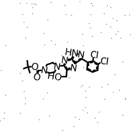 CC(C)(C)OC(=O)N1CCN(c2nc3[nH]nc(-c4cccc(Cl)c4Cl)c3nc2CO)CC1